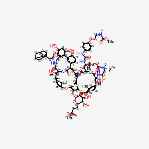 CC(C)C[C@H](C(=O)N[C@H]1C(=O)C[C@@H](CC(=O)NC(=O)Nc2ccc(OCCN(C)C(=O)OC(C)(C)C)cc2)C(=O)N[C@H]2C(=O)C[C@H]3C(=O)N[C@H](C(=O)N[C@H](C(=O)CC4C5CC6CC(C5)CC4C6)c4cc(O)cc(O)c4-c4cc3ccc4O)[C@H](O)c3ccc(c(Cl)c3)Oc3cc2cc(c3O[C@@H]2O[C@H](CCC(=O)OC(C)(C)C)[C@@H](O)[C@H](O)[C@H]2O)Oc2ccc(cc2Cl)[C@H]1O)N(C)C(=O)OC(C)(C)C